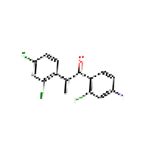 C=C(C(=O)c1ccc(I)cc1F)c1ccc(F)cc1F